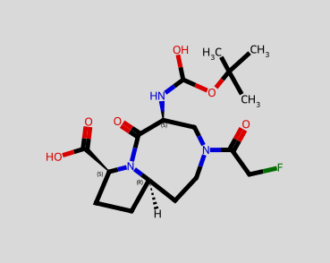 CC(C)(C)OC(O)N[C@H]1CN(C(=O)CF)CC[C@H]2CC[C@@H](C(=O)O)N2C1=O